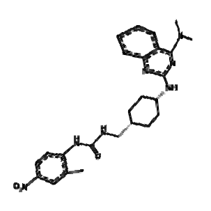 Cc1cc([N+](=O)[O-])ccc1NC(=O)NC[C@H]1CC[C@@H](Nc2nc(N(C)C)c3ccccc3n2)CC1